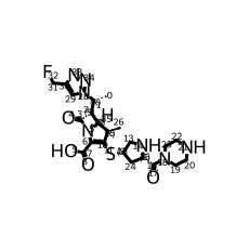 C[C@H]([C@H]1C(=O)N2C(C(=O)O)=C(S[C@@H]3CN[C@H](C(=O)N4CCNCC4)C3)[C@H](C)[C@H]12)n1cc(CF)nn1